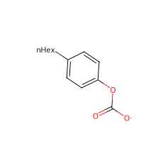 CCCCCCc1ccc(OC([O])=O)cc1